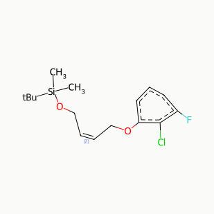 CC(C)(C)[Si](C)(C)OC/C=C\COc1cccc(F)c1Cl